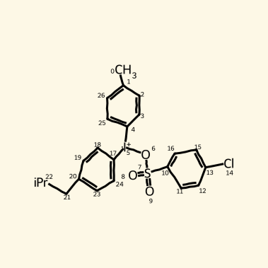 Cc1ccc([I+](OS(=O)(=O)c2ccc(Cl)cc2)c2ccc(CC(C)C)cc2)cc1